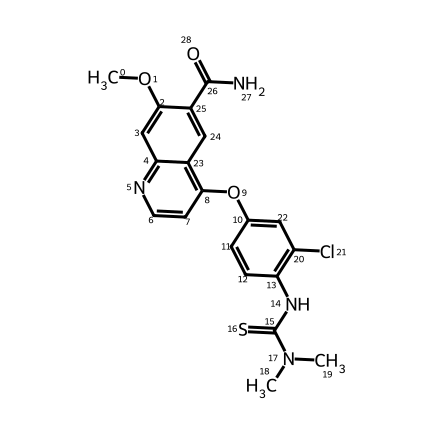 COc1cc2nccc(Oc3ccc(NC(=S)N(C)C)c(Cl)c3)c2cc1C(N)=O